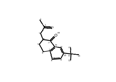 C=C(C)CC1CCc2ccc(C(C)(C)C)cc2C1=O